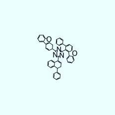 C1=CC(c2nc(C3=CCC(c4ccccc4)c4ccccc43)nc(-c3c(-c4ccccc4)ccc4oc5ccccc5c34)n2)Cc2oc3ccccc3c21